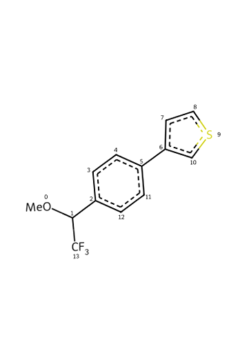 COC(c1ccc(-c2ccsc2)cc1)C(F)(F)F